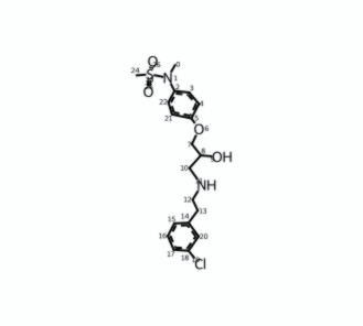 CN(c1ccc(OCC(O)CNCCc2cccc(Cl)c2)cc1)S(C)(=O)=O